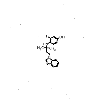 CC(C)(CCn1cnc2ccccc21)Nc1ccc(O)cc1F